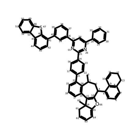 CC1CC(c2cccc3c2C=CCC3)C2=C(c3cccc(-c4ccc(-c5nc(-c6ccccc6)cc(-c6cccc(-c7cccc8c7sc7ccccc78)c6)n5)cc4)c31)C1(C)CC=CC=C1O2